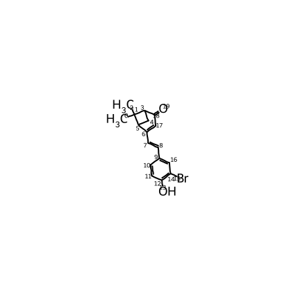 CC1(C)C2CC1C(/C=C/c1ccc(O)c(Br)c1)=CC2=O